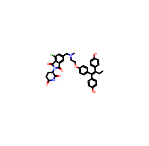 CCC(=C(c1ccc(O)cc1)c1ccc(OCCN(C)Cc2cc(F)c3c(c2)C(=O)N(C2CCC(=O)NC2=O)C3=O)cc1)c1ccc(O)cc1